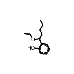 CCCCC(OCC)c1ccccc1O